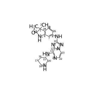 CC1(C)C(=O)Nc2cc(Nc3nc4c(N[C@H]5CCCNC5)nccn4n3)ccc21